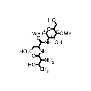 CO[C@@H]1OC(CO)[C@@H](OC)[C@H](O)C1NC(=O)C(CC(=O)O)NC(=O)C(N)C(C)O